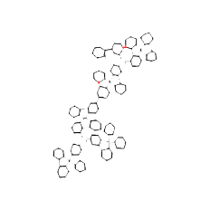 c1ccc(C2(c3ccc(N(c4ccc5c(c4)-c4ccccc4C5(c4ccccc4)c4ccccc4)c4cccc5c4-c4ccccc4C54c5ccccc5-c5cc(-c6ccc(C7(c8ccccc8)c8ccccc8-c8cc(N(c9cccc%10c9-c9ccccc9C%109c%10ccccc%10-c%10ccccc%109)c9cccc%10c9oc9ccccc9%10)ccc87)cc6)ccc54)cc3)c3ccccc3-c3ccccc32)cc1